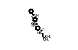 CN(C)CCNC(=O)[C@H]1CC[C@H](NS(=O)(=O)c2ccc3[nH]c(-c4ccccc4)nc3c2)CC1